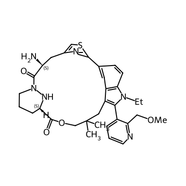 CCn1c(-c2cccnc2COC)c2c3cc(ccc31)-c1nc(cs1)C[C@H](N)C(=O)N1CCC[C@H](N1)C(=O)OCC(C)(C)C2